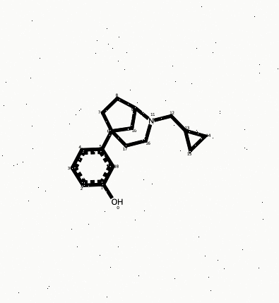 Oc1cccc(C23CCC(C2)N(CC2CC2)CC3)c1